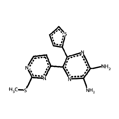 CSc1nccc(-c2nc(N)c(N)nc2-c2cccs2)n1